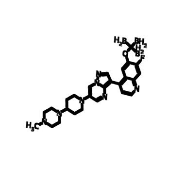 BC(B)(B)Oc1cc2c(-c3cnn4cc(N5CCC(N6CCN(C)CC6)CC5)cnc34)ccnc2cc1F